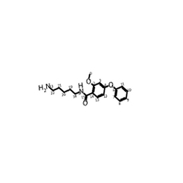 COc1cc(Oc2ccccc2)ccc1C(=O)NCCCCCN